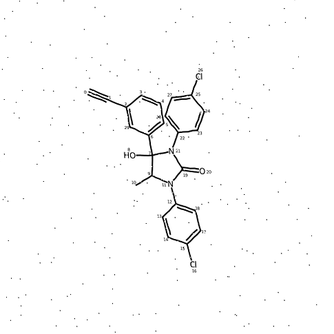 C#Cc1cccc(C2(O)C(C)N(c3ccc(Cl)cc3)C(=O)N2c2ccc(Cl)cc2)c1